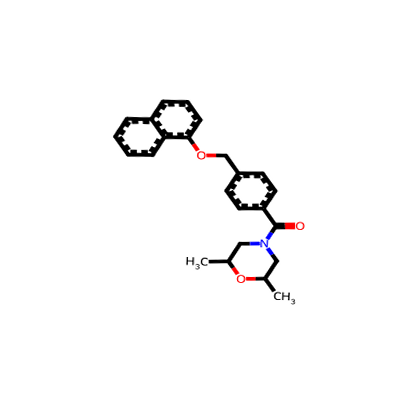 CC1CN(C(=O)c2ccc(COc3cccc4ccccc34)cc2)CC(C)O1